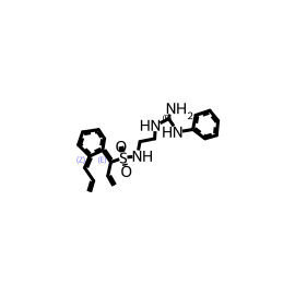 C=C/C=c1/cccc/c1=C(/C=C)S(=O)(=O)NCCN[C@@H](N)Nc1ccccc1